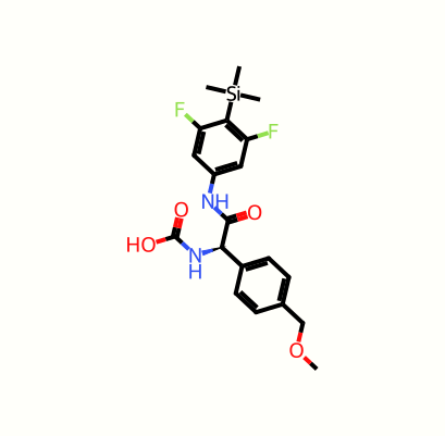 COCc1ccc([C@@H](NC(=O)O)C(=O)Nc2cc(F)c([Si](C)(C)C)c(F)c2)cc1